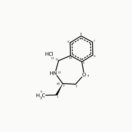 CC[C@@H]1COc2ccccc2CN1.Cl